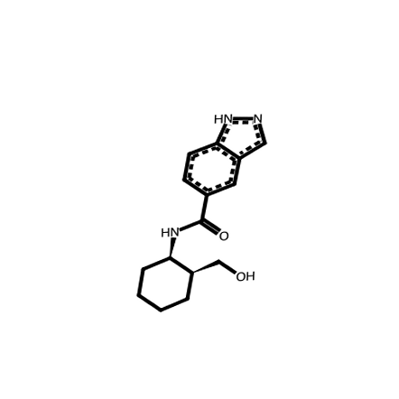 O=C(N[C@@H]1CCCC[C@@H]1CO)c1ccc2[nH]ncc2c1